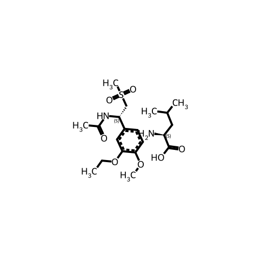 CC(C)C[C@H](N)C(=O)O.CCOc1cc([C@@H](CS(C)(=O)=O)NC(C)=O)ccc1OC